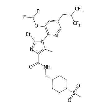 CCc1nc(C(=O)NC[C@H]2CC[C@@H](S(C)(=O)=O)CC2)c(C)n1-c1ncc(CC(C(F)(F)F)C(F)(F)F)cc1OC(F)F